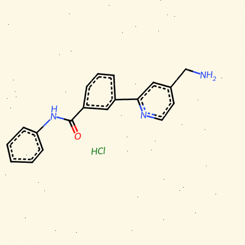 Cl.NCc1ccnc(-c2cccc(C(=O)Nc3ccccc3)c2)c1